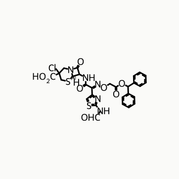 O=CNc1nc(C(=NOCC(=O)OC(c2ccccc2)c2ccccc2)C(=O)NC2C(=O)N3CC(Cl)(C(=O)O)CS[C@H]23)cs1